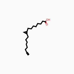 C#CCCCCCCC1=C(CCCCCCCC(=O)O)C1